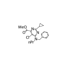 CCCN(Cc1ccccc1)c1nc(C2CC2)nc(C(=O)OC)c1Cl